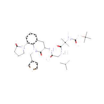 CC(C)C[C@@H](NC(=O)C(C)(C)NC(=O)OC(C)(C)C)C(=O)NC1Cc2cccc(N3CCCC3=O)c2N(Cc2ccsc2)C1=O